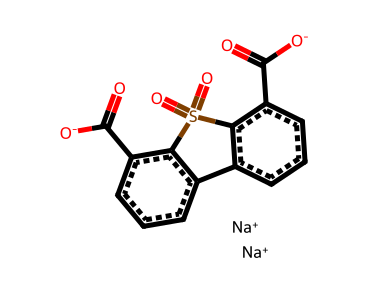 O=C([O-])c1cccc2c1S(=O)(=O)c1c(C(=O)[O-])cccc1-2.[Na+].[Na+]